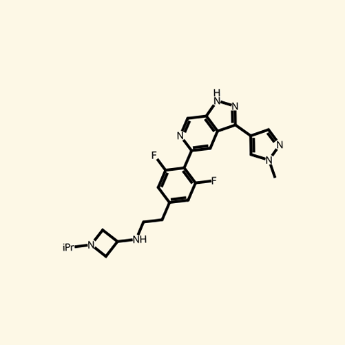 CC(C)N1CC(NCCc2cc(F)c(-c3cc4c(-c5cnn(C)c5)n[nH]c4cn3)c(F)c2)C1